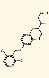 CN(CC(=O)O)C1COc2cc(OCc3c(Cl)cccc3Cl)ccc2C1